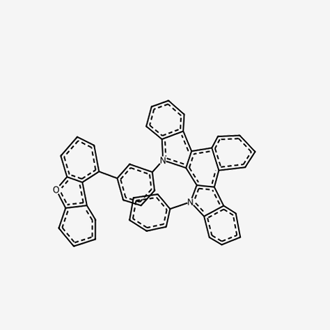 c1ccc(-n2c3ccccc3c3c4ccccc4c4c5ccccc5n(-c5cccc(-c6cccc7oc8ccccc8c67)c5)c4c32)cc1